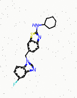 Fc1ccc2c(c1)ncn2Cc1ccc2nc(NC3CCCCC3)sc2c1